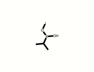 CC(C)B(O)OI